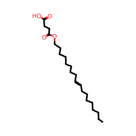 CCCCCCCCC=CCCCCCCCCOC(=O)CCC(=O)O